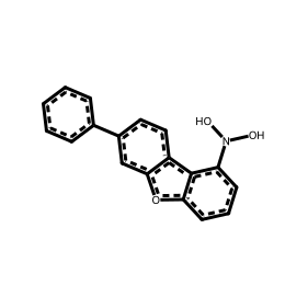 ON(O)c1cccc2oc3cc(-c4ccccc4)ccc3c12